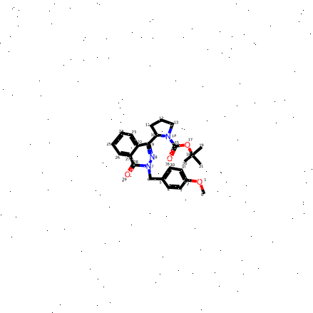 COc1ccc(Cn2nc(C3CCCN3C(=O)OC(C)(C)C)c3ccccc3c2=O)cc1